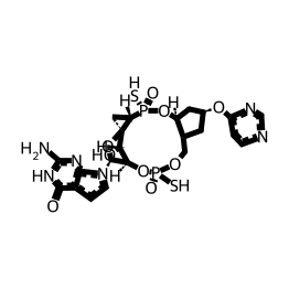 Nc1nc2c(ccn2[C@@H]2O[C@@]34C[C@@H]3P(=O)(S)O[C@H]3C[C@H](Oc5ccncn5)CC3COP(=O)(S)O[C@@H]2[C@@H]4O)c(=O)[nH]1